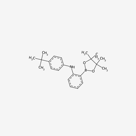 CC(C)(C)c1ccc(Nc2ccccc2B2OC(C)(C)C(C)(C)O2)cc1